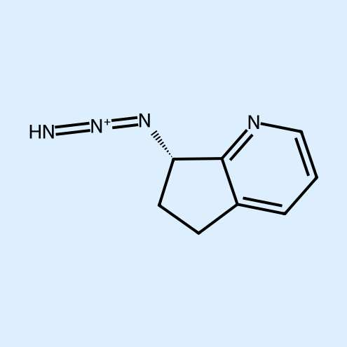 N=[N+]=N[C@H]1CCc2cccnc21